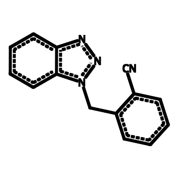 N#Cc1ccccc1Cn1nnc2ccccc21